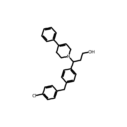 OCCC(c1ccc(Cc2ccc(Cl)cc2)cc1)N1CC=C(c2ccccc2)CC1